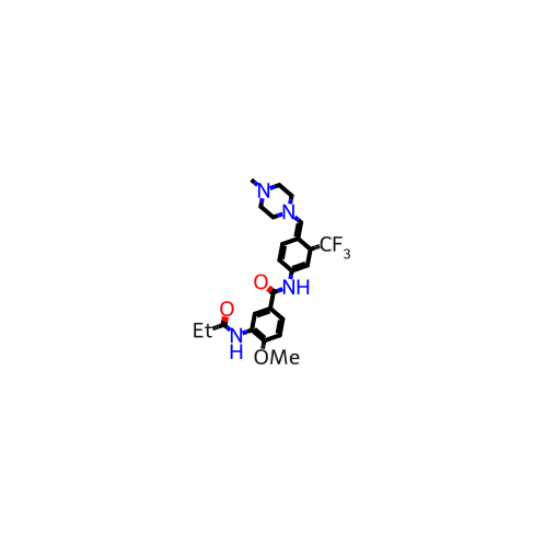 CCC(=O)Nc1cc(C(=O)NC2=CC(C(F)(F)F)C(=CN3CCN(C)CC3)C=C2)ccc1OC